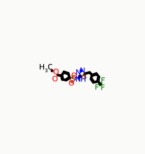 CCOC(=O)c1ccc(S(=O)(=O)Nc2nnc(Cc3ccc(C(F)(F)F)cc3)s2)cc1